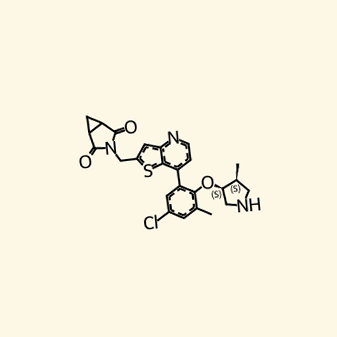 Cc1cc(Cl)cc(-c2ccnc3cc(CN4C(=O)C5CC5C4=O)sc23)c1O[C@@H]1CNC[C@@H]1C